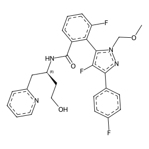 COCn1nc(-c2ccc(F)cc2)c(F)c1-c1c(F)cccc1C(=O)N[C@@H](CCO)Cc1ccccn1